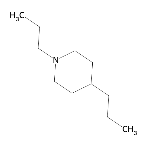 CCCC1CCN(CCC)CC1